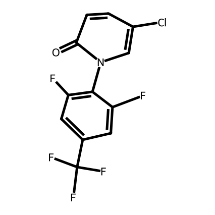 O=c1ccc(Cl)cn1-c1c(F)cc(C(F)(F)F)cc1F